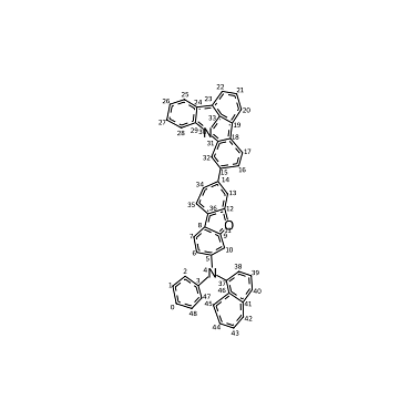 c1ccc(N(c2ccc3c(c2)oc2cc(-c4ccc5c6cccc7c8ccccc8n(c5c4)c76)ccc23)c2cccc3ccccc23)cc1